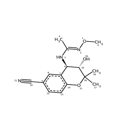 CON=C(C)N[C@@H]1c2cc(C#N)ccc2OC(C)(C)[C@H]1O